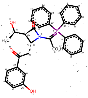 C[C@@H](O)[C@H]1C(=O)N(C(C(=O)O)=P(c2ccccc2)(c2ccccc2)c2ccccc2)[C@@H]1CC(=O)c1cccc(O)c1